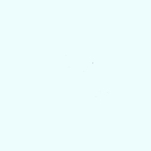 COc1cc(F)cc2[nH]c(Cc3nc4cc(C(=N)N)ccc4[nH]3)nc12